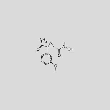 COc1cccc([C@]2(C(N)=O)C[C@@H]2C(=O)NO)c1